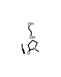 C=CC.CN1CCCC1=O.OCCO